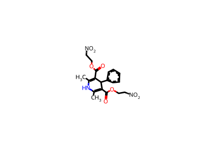 CC1=C(C(=O)OCC[N+](=O)[O-])C(c2ccccc2)C(C(=O)OCC[N+](=O)[O-])=C(C)N1